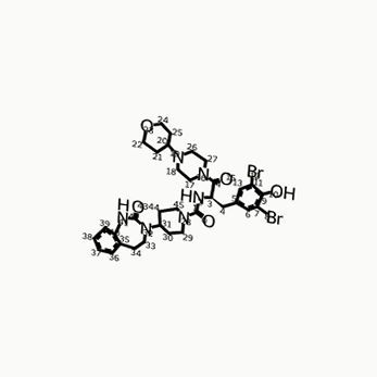 O=C(N[C@H](Cc1cc(Br)c(O)c(Br)c1)C(=O)N1CCN(C2CCOCC2)CC1)N1CCC(N2CCc3ccccc3NC2=O)CC1